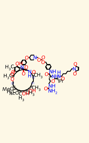 CO[C@H]1/C=C/O[C@@]2(C)Oc3c(C)c(O)c4c(=O)c(c5oc6cc(OC7CCN(COC(=O)OCc8ccc(NC(=O)[C@H](CCCNC(N)=O)NC(=O)[C@@H](NC(=O)CCCCCN9C(=O)C=CC9=O)C(C)C)cc8)CC7)ccc6nc-5c4c3C2=O)NC(=O)/C(C)=C\C=C\[C@H](C)[C@H](O)[C@@H](C)[C@@H](O)[C@@H](C)[C@H](OC(C)=O)[C@@H]1C